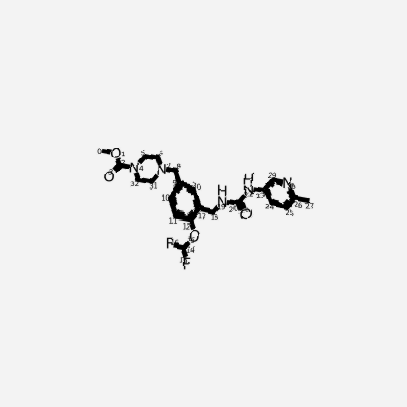 COC(=O)N1CCN(Cc2ccc(OC(F)F)c(CNC(=O)Nc3ccc(C)nc3)c2)CC1